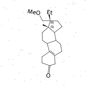 CC[C@@]1(COC)CCC2C3CCC4=C(CCC(=O)C4)C3CC[C@@]21C